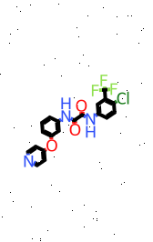 O=C(Nc1cccc(Oc2ccncc2)c1)C(=O)Nc1ccc(Cl)c(C(F)(F)F)c1